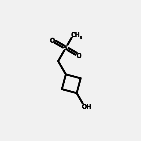 CS(=O)(=O)CC1CC(O)C1